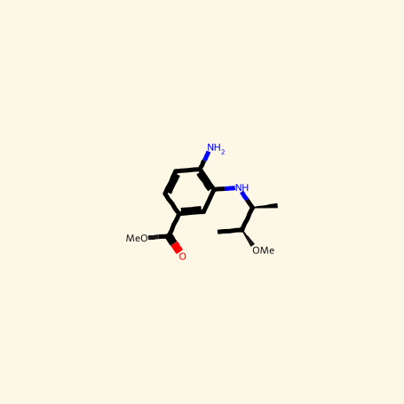 COC(=O)c1ccc(N)c(N[C@@H](C)[C@H](C)OC)c1